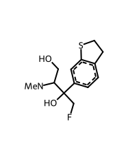 CNC(CO)C(O)(CF)c1ccc2c(c1)SCC2